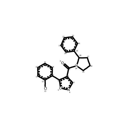 O=C(c1cnoc1-c1ccccc1Cl)N1CCCC1c1ccccc1